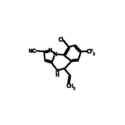 C=CC1Nc2cc(C#N)nn2-c2c(Cl)cc(C(F)(F)F)cc21